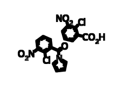 O=C(O)c1cccc([N+](=O)[O-])c1Cl.O=C(c1cccc([N+](=O)[O-])c1Cl)n1cccc1